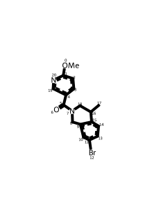 COc1ccc(C(=O)N2Cc3cc(Br)ccc3C(C)C2)cn1